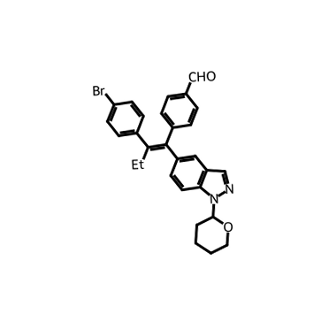 CC/C(=C(/c1ccc(C=O)cc1)c1ccc2c(cnn2C2CCCCO2)c1)c1ccc(Br)cc1